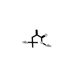 C=C(CC(C)(C)CCCC)C(=O)OCCCC